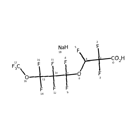 O=C(O)C(F)(F)C(F)OC(F)(F)C(F)(F)C(F)(F)OC(F)(F)F.[NaH]